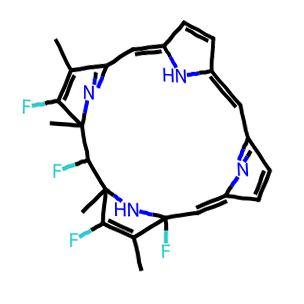 CC1=C(F)C2(C)N=C1C=c1ccc([nH]1)=CC1=NC(=CC3(F)NC(C)(C(F)=C3C)C2F)C=C1